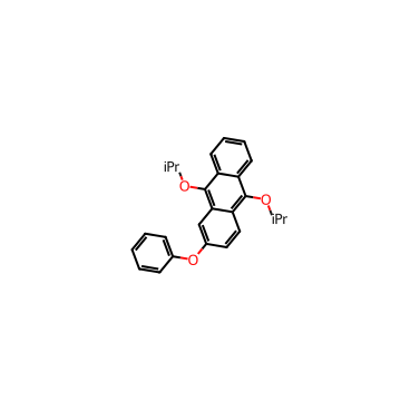 CC(C)Oc1c2ccccc2c(OC(C)C)c2cc(Oc3ccccc3)ccc12